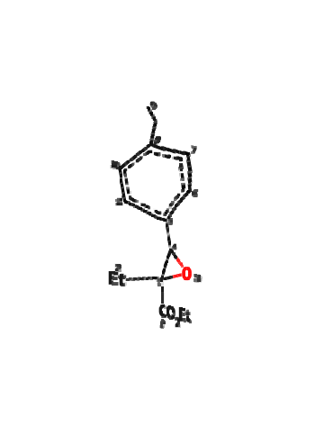 CCOC(=O)C1(CC)OC1c1ccc(C)cc1